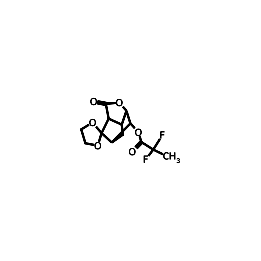 CC(F)(F)C(=O)OC1C2OC(=O)C3C2CC1C31OCCO1